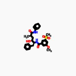 COc1cc(C(=O)N[C@@H](Cc2ccccc2)[C@H](O)C[C@@H](C)C(=O)NC2CC3CCC2C3)cc(S(C)(=O)=O)c1